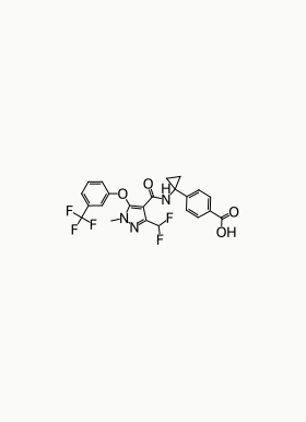 Cn1nc(C(F)F)c(C(=O)NC2(c3ccc(C(=O)O)cc3)CC2)c1Oc1cccc(C(F)(F)F)c1